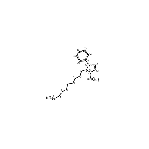 CCCCCCCCCCCCCCCCCCC1N(CCCCCCCC)C=CN1c1ccccc1